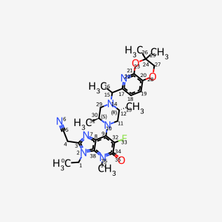 CCn1c(CC#N)nc2c(N3C[C@@H](C)N(C(C)c4ccc5c(n4)OC(C)(C)CO5)C[C@@H]3C)c(F)c(=O)n(C)c21